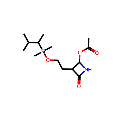 CC(=O)OC1NC(=O)C1CCO[Si](C)(C)C(C)C(C)C